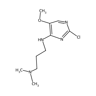 COc1cnc(Cl)nc1NCCCN(C)C